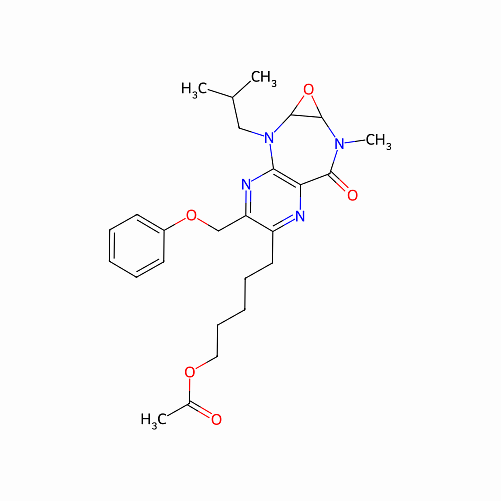 CC(=O)OCCCCCc1nc2c(nc1COc1ccccc1)N(CC(C)C)C1OC1N(C)C2=O